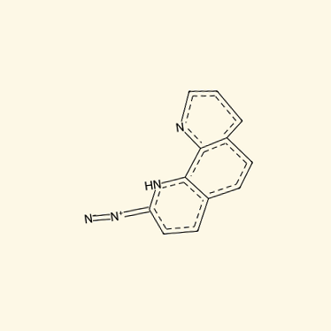 [N-]=[N+]=c1ccc2ccc3cccnc3c2[nH]1